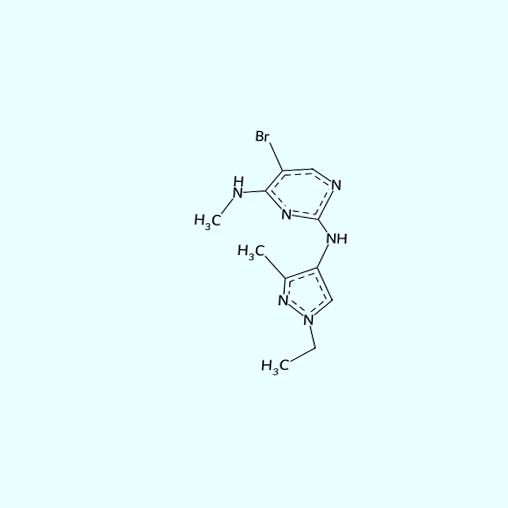 CCn1cc(Nc2ncc(Br)c(NC)n2)c(C)n1